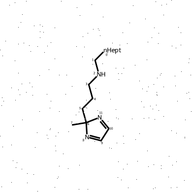 CCCCCCCCNCCCC1(C)N=CC=N1